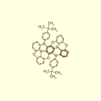 CC(C)(C)c1ccc(N2c3cccc4c3[Si]3(c5ccccc5)c5c(cccc5Oc5c6c7c(c2c53)Oc2cccc3c2[Si]7(c2ccccc2)c2c(cccc2N6c2ccc(C(C)(C)C)cc2)O3)O4)cc1